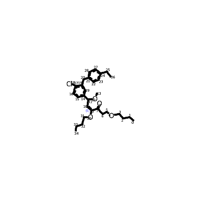 CCCCOCCC(=O)/C(=C\C(OC)c1ccc(Cl)c(Cc2ccc(CC)cc2)c1)OCCCC